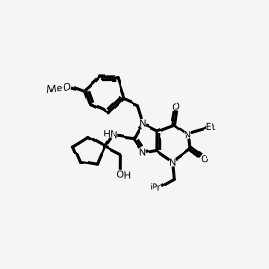 CCn1c(=O)c2c(nc(NC3(CO)CCCC3)n2Cc2ccc(OC)cc2)n(CC(C)C)c1=O